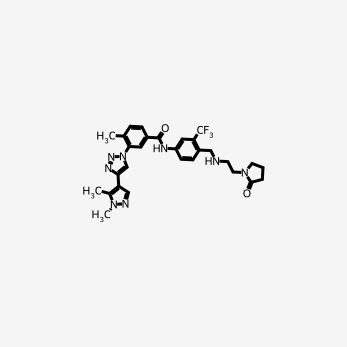 Cc1ccc(C(=O)Nc2ccc(CNCCN3CCCC3=O)c(C(F)(F)F)c2)cc1-n1cc(-c2cnn(C)c2C)nn1